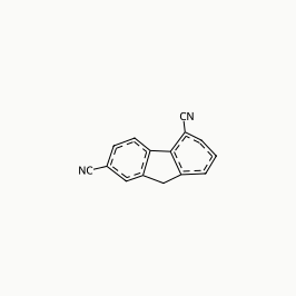 N#Cc1ccc2c(c1)Cc1cccc(C#N)c1-2